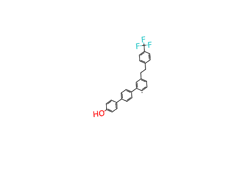 Oc1ccc(-c2ccc(-c3[c]ccc(CCc4ccc(C(F)(F)F)cc4)c3)cc2)cc1